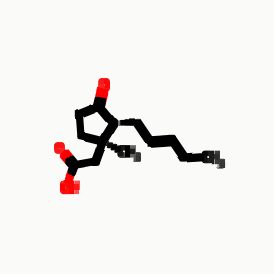 CCC=CC[C@H]1C(=O)CC[C@]1(C)CC(=O)O